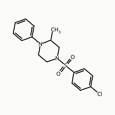 CC1CN(S(=O)(=O)c2ccc(Cl)cc2)CCN1c1ccccc1